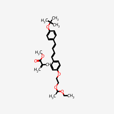 C=C(C)C(=O)OC.CCOC(C)OCCOc1ccc(C=CC=Cc2ccc(OC(C)(C)C)cc2)cc1